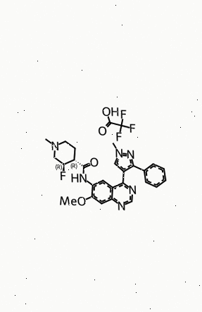 COc1cc2ncnc(-c3cn(C)nc3-c3ccccc3)c2cc1NC(=O)[C@H]1CCN(C)C[C@@H]1F.O=C(O)C(F)(F)F